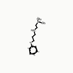 CCCCN(CCC)CCNCCCSc1ccccc1